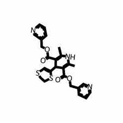 CC1=C(C(=O)OCc2cccnc2)C(C2=CSCCS2)C(C(=O)OCc2cccnc2)=C(C)N1